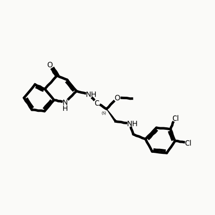 CO[C@@H](CNCc1ccc(Cl)c(Cl)c1)CNc1cc(=O)c2ccccc2[nH]1